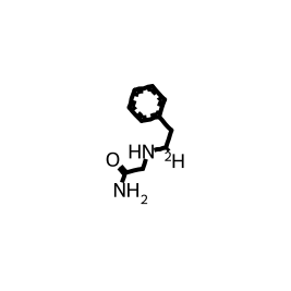 [2H][C@H](Cc1ccccc1)NCC(N)=O